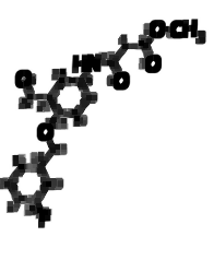 COC(=O)CC(=O)Nc1ccc(OCc2cccc(F)c2)c(C=O)c1